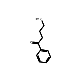 O=C(O)[CH]CCC(=O)c1ccccc1